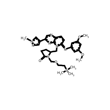 COc1cc(/N=c2\ccc3ncc(-c4cnn(C)c4)nc3n2CC2CCC(=O)N2COCC[Si](C)(C)C)cc(OC)c1